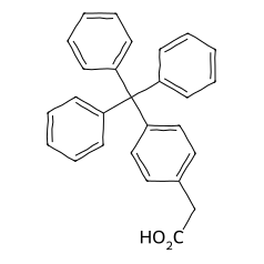 O=C(O)Cc1ccc(C(c2ccccc2)(c2ccccc2)c2ccccc2)cc1